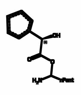 CCCCCC(N)OC(=O)[C@H](O)c1ccccc1